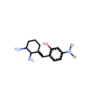 CCN(CC)c1ccc(C=C2CCCC(N)C2N)c(O)c1